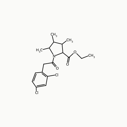 CCOC(=O)C1C(C)C(C)C(C)N1C(=O)Cc1ccc(Cl)cc1Cl